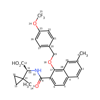 Cc1ccc2ccc(C(=O)N[C@H](C(=O)O)C3(C)CC3)c(OCc3ccc(OC(F)(F)F)cc3)c2c1